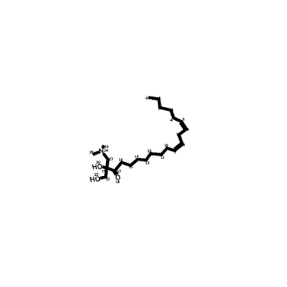 CCCCC/C=C\C/C=C\CCCCCCCC(=O)C(O)(CO)CN(C)C